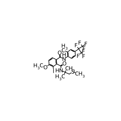 COc1ccc(C(=O)Nc2ccc(C(F)(C(F)(F)F)C(F)(F)F)cc2C)c(C(=O)NC(C)(C)CSC)c1I